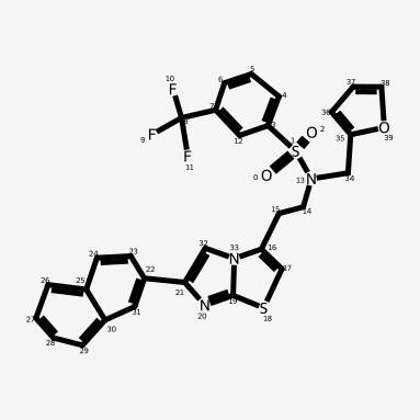 O=S(=O)(c1cccc(C(F)(F)F)c1)N(CCc1csc2nc(-c3ccc4ccccc4c3)cn12)Cc1ccco1